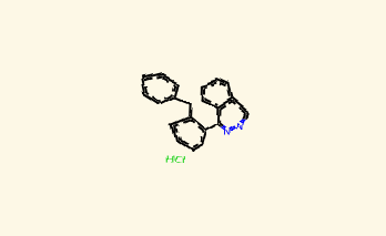 Cl.c1ccc(Cc2ccccc2-c2nncc3ccccc23)cc1